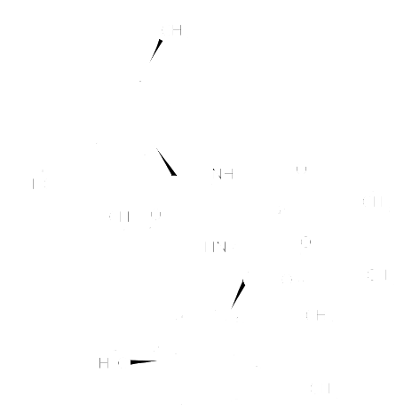 CC(C)OC(=O)C(NC(=O)[C@@H]1C[C@H](C)CC[C@H]1C(C)C)NC(=O)[C@@H]1C[C@H](C)CC[C@H]1C(C)C